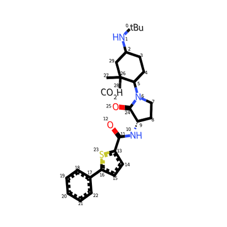 CC(C)(C)NC1CCC(N2CC[C@H](NC(=O)c3ccc(-c4ccccc4)s3)C2=O)C(C)(C(=O)O)C1